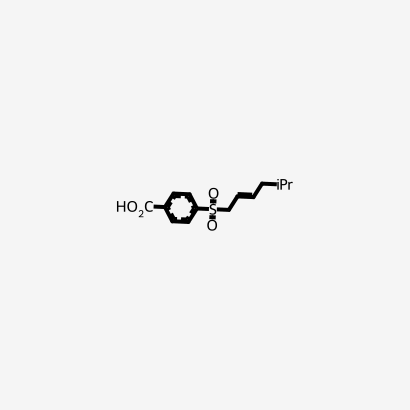 CC(C)CC=CCS(=O)(=O)c1ccc(C(=O)O)cc1